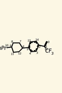 C=C(c1ccc(C2CCC(CCC)CC2)cc1)C(F)(F)F